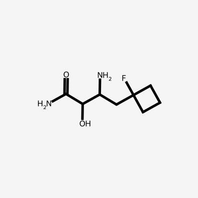 NC(=O)C(O)C(N)CC1(F)CCC1